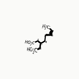 C/C=C\CCC(CC(=O)O)CC(=O)O